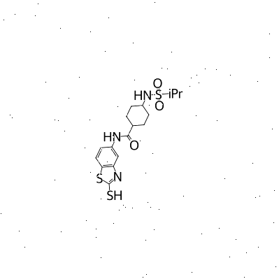 CC(C)S(=O)(=O)NC1CCC(C(=O)Nc2ccc3sc(S)nc3c2)CC1